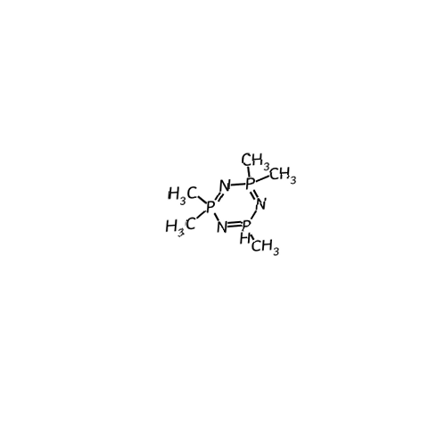 C[PH]1=NP(C)(C)=NP(C)(C)=N1